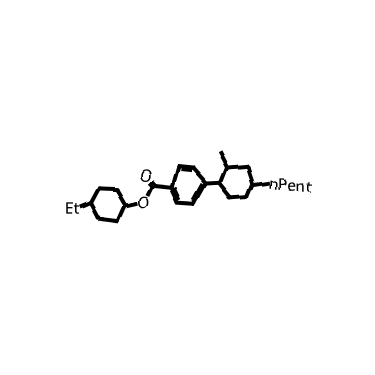 CCCCCC1CCC(c2ccc(C(=O)OC3CCC(CC)CC3)cc2)C(C)C1